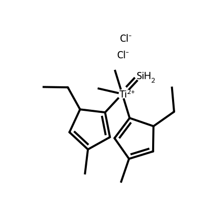 CCC1C=C(C)C=[C]1[Ti+2]([CH3])([CH3])(=[SiH2])[C]1=CC(C)=CC1CC.[Cl-].[Cl-]